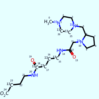 C[15N]1CC[15N](CC2CCC[15N]2CC(=O)N[13CH2][13CH2][13CH2][13C](=O)NCC[13CH2][13C](=O)O)[13CH2][13CH2]1